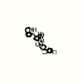 O=S(=O)(c1ccc(Sc2cccc3c2NCCC3)c2nonc12)N1CCC(O)(c2ccc(Cl)cc2)CC1